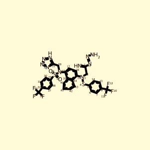 N=C(CN(Sc1ccc(C(F)(F)F)cc1)c1ccc(N(Cc2nnn[nH]2)S(=O)(=O)c2ccc(C(F)(F)F)cc2)c2ccccc12)/N=N/N